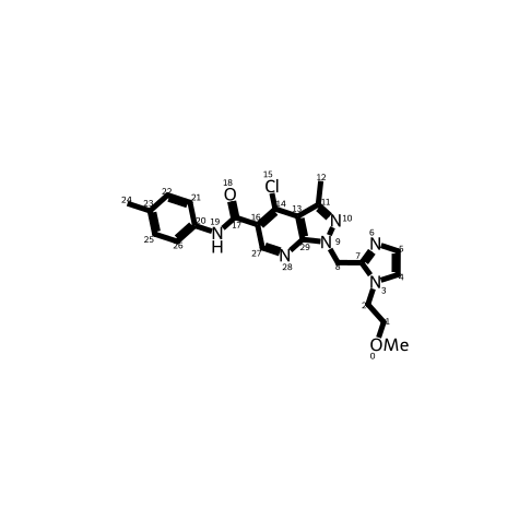 COCCn1ccnc1Cn1nc(C)c2c(Cl)c(C(=O)Nc3ccc(C)cc3)cnc21